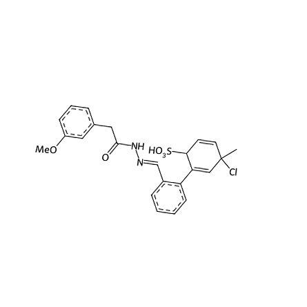 COc1cccc(CC(=O)N/N=C/c2ccccc2C2=CC(C)(Cl)C=CC2S(=O)(=O)O)c1